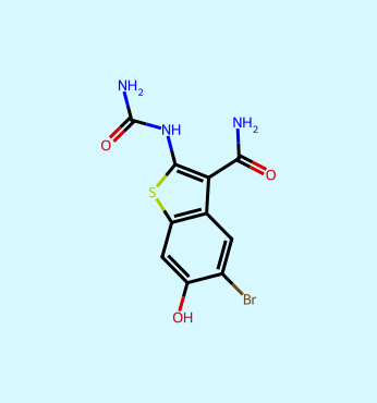 NC(=O)Nc1sc2cc(O)c(Br)cc2c1C(N)=O